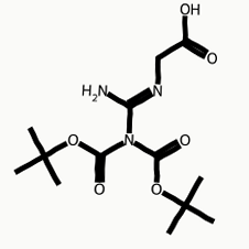 CC(C)(C)OC(=O)N(C(=O)OC(C)(C)C)C(N)=NCC(=O)O